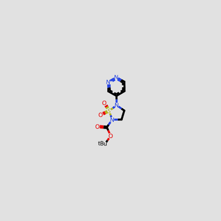 CC(C)(C)OC(=O)N1CCN(c2ccnnc2)S1(=O)=O